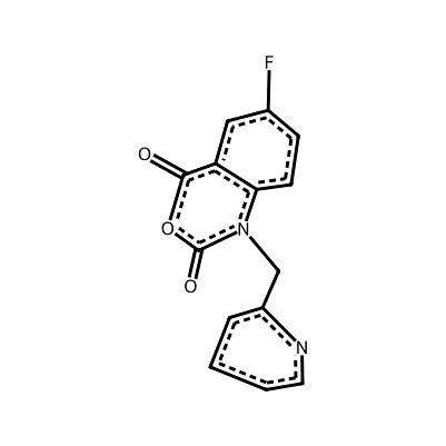 O=c1oc(=O)n(Cc2ccccn2)c2ccc(F)cc12